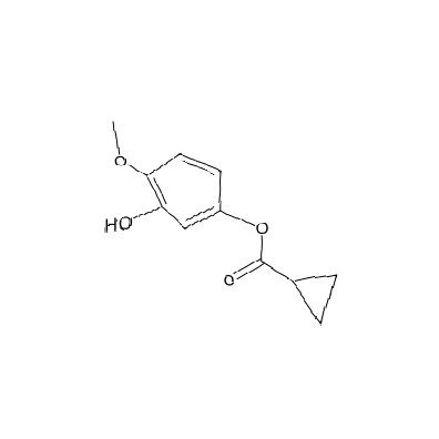 COc1ccc(OC(=O)C2CC2)cc1O